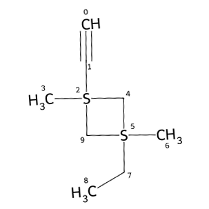 C#CS1(C)CS(C)(CC)C1